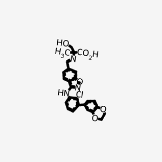 CC(CO)(N=Cc1ccc2c(Nc3cccc(-c4ccc5c(c4)OCCO5)c3Cl)noc2c1)C(=O)O